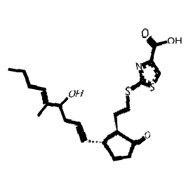 CCC/C=C(\C)C(O)C/C=C/[C@H]1CCC(=O)[C@@H]1CCSc1nc(C(=O)O)cs1